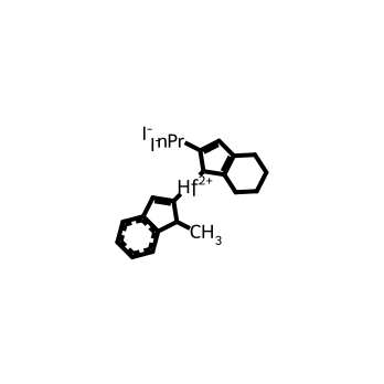 CCCC1=CC2=C(CCCC2)[CH]1[Hf+2][C]1=Cc2ccccc2C1C.[I-].[I-]